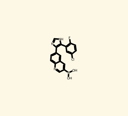 OB(O)c1cnc2ccc(-c3nc[nH]c3-c3cc(Cl)ccc3F)cc2c1